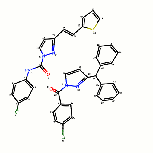 O=C(Nc1ccc(Cl)cc1)n1ccc(C=Cc2cccs2)n1.O=C(c1ccc(Cl)cc1)n1ccc(C(c2ccccc2)c2ccccc2)n1